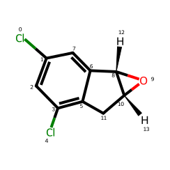 Clc1cc(Cl)c2c(c1)[C@@H]1O[C@@H]1C2